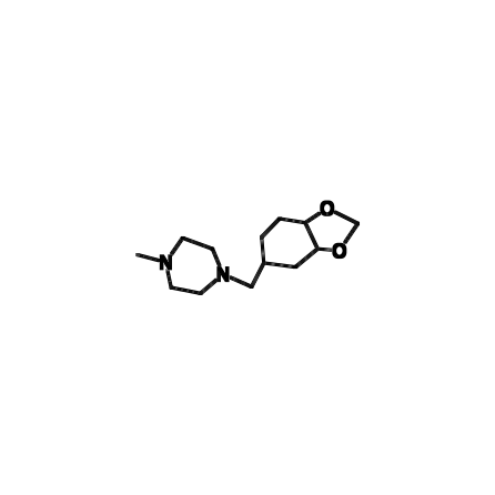 CN1CCN(CC2CCC3OCOC3C2)CC1